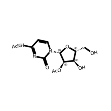 CC(=O)Nc1ccn([C@@H]2O[C@H](CO)[C@@H](O)[C@H]2OC(C)=O)c(=O)n1